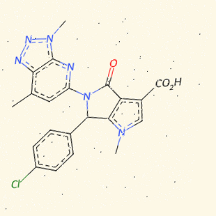 Cc1cc(N2C(=O)c3c(C(=O)O)cn(C)c3C2c2ccc(Cl)cc2)nc2c1nnn2C